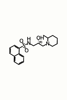 CC1CCCCN1C[C@@H](O)CNS(=O)(=O)c1cccc2ccccc12